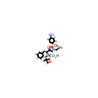 CC(C)CN(C[C@@H](O)[C@H](Cc1ccccc1)N(CC1(C)COC1)C(=O)O)S(=O)(=O)c1ccc(N)cc1